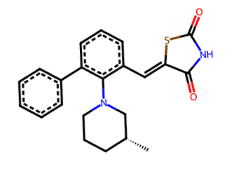 C[C@@H]1CCCN(c2c(/C=C3\SC(=O)NC3=O)cccc2-c2ccccc2)C1